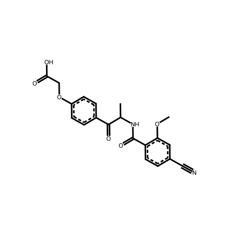 COc1cc(C#N)ccc1C(=O)NC(C)C(=O)c1ccc(OCC(=O)O)cc1